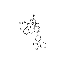 CC(C)(C)NC(=O)C1(C2CCCCC2)CCN(C(=O)[C@@H](Cc2ccc(F)cc2)NC(=O)[C@H]2C[C@H]3CC[C@@H]2N(C(=O)OC(C)(C)C)C3)CC1